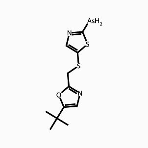 CC(C)(C)c1cnc(CSc2cnc([AsH2])s2)o1